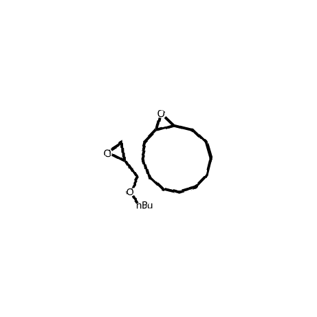 C1CCCCCC2OC2CCCC1.CCCCOCC1CO1